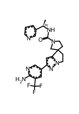 C[C@@H](NC(=O)N1CCC2(CCn3nc(-c4cnc(N)c(C(F)(F)F)c4)cc32)C1)c1cccnc1